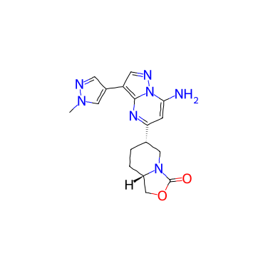 Cn1cc(-c2cnn3c(N)cc([C@H]4CC[C@H]5COC(=O)N5C4)nc23)cn1